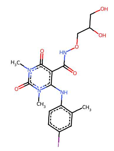 Cc1cc(I)ccc1Nc1c(C(=O)NOCC(O)CO)c(=O)n(C)c(=O)n1C